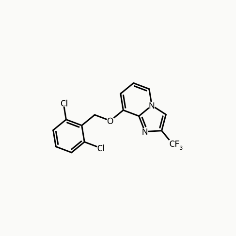 FC(F)(F)c1cn2cccc(OCc3c(Cl)cccc3Cl)c2n1